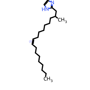 CCCCCCCC/C=C\CCCCCCC(C)Cc1ncc[nH]1